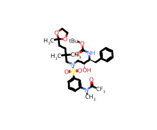 CN(C(=O)C(F)(F)F)c1cccc(S(=O)(=O)N(C[C@@H](O)[C@H](Cc2ccccc2)NC(=O)OC(C)(C)C)CC(C)(C)CCC2(C)OCCO2)c1